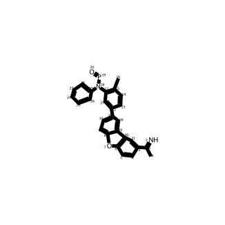 CC(=N)c1ccc2oc3ccc(-c4ccc(C)c(N(P=O)c5ccccc5)c4)cc3c2c1